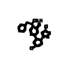 O=C(O)[C@H](Cc1ccccc1)n1cnc(-c2cc(Cl)ccc2-n2cc(Cl)nn2)cc1=O